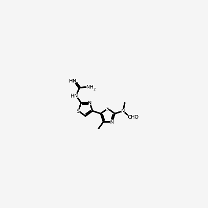 Cc1nc(N(C)C=O)sc1-c1csc(NC(=N)N)n1